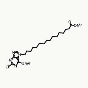 CNc1nc(Cl)nc2ncn(CCCCCCCCCCCCCCCC(=O)OC)c12